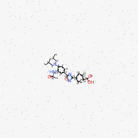 CCCN(CC(C)C)c1ccc(-c2nc(-c3ccc(C(=O)O)c(F)c3)no2)cc1NC(C)=O